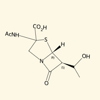 CC(=O)NC1(C(=O)O)CN2C(=O)[C@H](C(C)O)[C@H]2S1